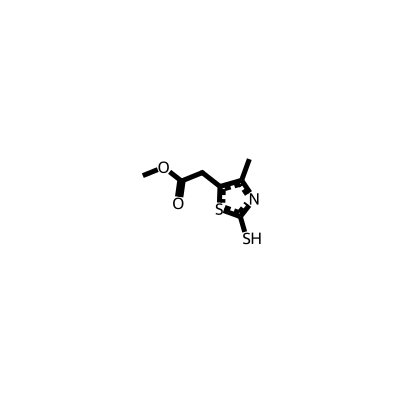 COC(=O)Cc1sc(S)nc1C